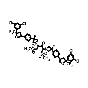 CS(=O)(=O)CC(C(=O)C(CS(C)(=O)=O)N1CC(F)(c2ccc(C3=COC(c4cc(Cl)cc(Cl)c4)(C(F)(F)F)C3)cc2)C1)N1CC(F)(c2ccc(C3=COC(c4cc(Cl)cc(Cl)c4)(C(F)(F)F)C3)cc2)C1